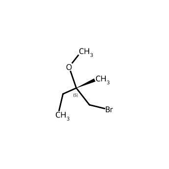 CC[C@@](C)(CBr)OC